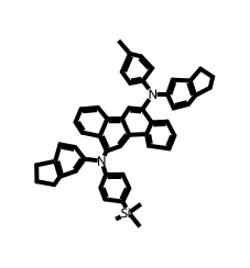 Cc1ccc(N(c2ccc3c(c2)CCC3)c2cc3c4ccccc4c(N(c4ccc([Si](C)(C)C)cc4)c4ccc5c(c4)CCC5)cc3c3ccccc23)cc1